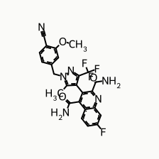 COc1cc(Cn2nc(C(F)(F)F)c(-c3c(C(N)=O)nc4cc(F)ccc4c3C(N)=O)c2C)ccc1C#N